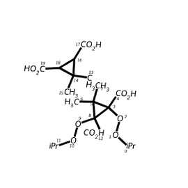 CC(C)OOC1(C(=O)O)C(C)(C)C1(OOC(C)C)C(=O)O.CC1(C)C(C(=O)O)C1C(=O)O